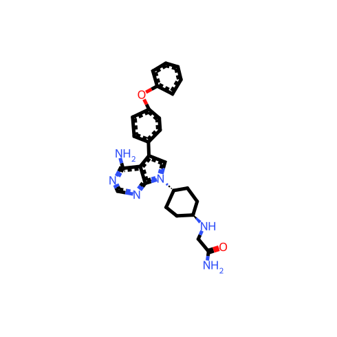 NC(=O)CN[C@H]1CC[C@H](n2cc(-c3ccc(Oc4ccccc4)cc3)c3c(N)ncnc32)CC1